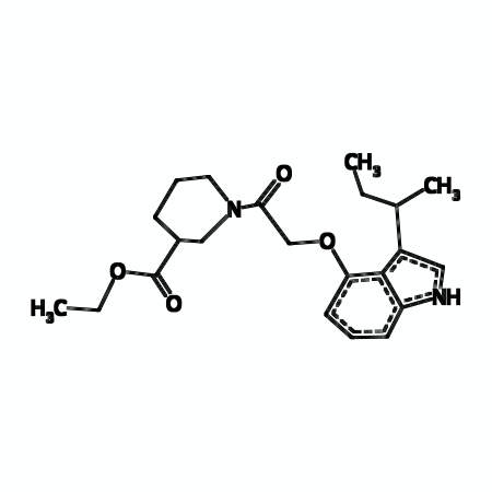 CCOC(=O)C1CCCN(C(=O)COc2cccc3[nH]cc(C(C)CC)c23)C1